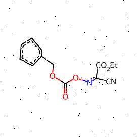 CCOC(=O)/C(C#N)=N\OC(=O)OCc1ccccc1